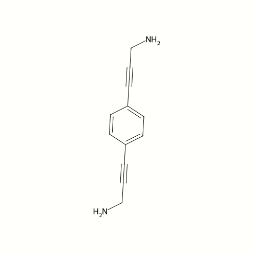 NCC#Cc1ccc(C#CCN)cc1